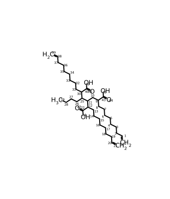 C=CCCCCCCCC(CC(C(CCCCCCCC=C)C(=O)O)C(CCCC)C(CCCCCCCC=C)C(=O)O)C(=O)O